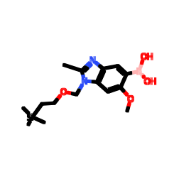 COc1cc2c(cc1B(O)O)nc(C)n2COCC[Si](C)(C)C